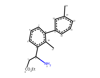 CCOC(=O)CC(N)c1cccc(-c2cccc(C)c2)c1C